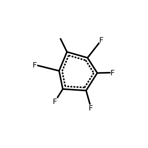 Cc1c(F)c(F)c(F)c(F)c1F